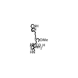 CO[C@H](C)CN(CCCCc1ccc2c(n1)NCCC2)CCC(Nc1ncnc(C=N)c1N)C(=O)O